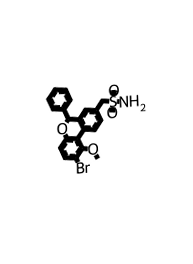 COc1c(Br)ccc2c1-c1ccc(CS(N)(=O)=O)cc1C(c1ccccc1)O2